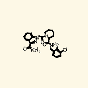 NC(=O)c1nn(CC(=O)N2CCCCCC2C(=O)NCc2cccc(Cl)c2F)c2ccccc12